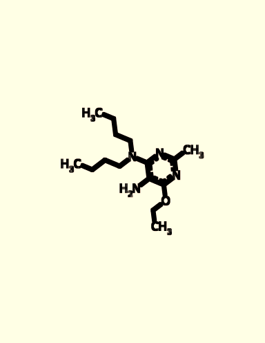 CCCCN(CCCC)c1nc(C)nc(OCC)c1N